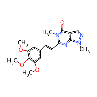 COc1cc(C=Cc2nc3c(cnn3C)c(=O)n2C)cc(OC)c1OC